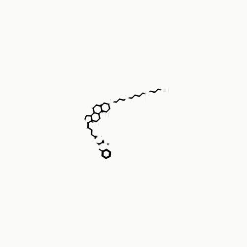 COC(=O)[C@H](Cc1ccccc1)NC(=O)CC[C@@H](C)[C@H]1CCC2C3C(CC[C@@]21C)[C@@]1(C)CC[C@H](NCCCNCCCCNCCCN)C[C@H]1C[C@H]3O